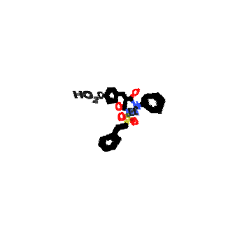 CCN(C(=O)C(Cc1ccc(C(=O)O)cc1)C(=O)NS(=O)(=O)/C=C/c1ccccc1)c1ccccc1